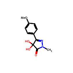 COc1ccc(C2=NN(C)C(=O)C2(O)O)cc1